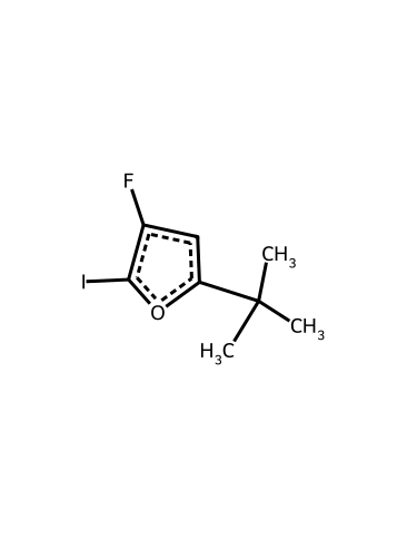 CC(C)(C)c1cc(F)c(I)o1